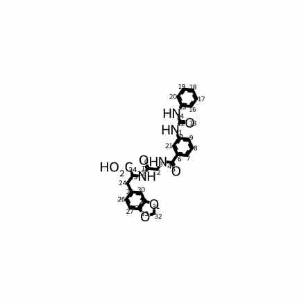 O=C(CNC(=O)c1cccc(NC(=O)Nc2ccccc2)c1)NC(Cc1ccc2c(c1)OCO2)C(=O)O